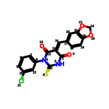 O=C1NC(=S)N(c2cccc(Cl)c2)C(=O)/C1=C/c1ccc2c(c1)OCO2